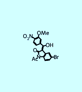 COc1cc(C(O)=C2C(=O)N(C(C)=O)c3ccc(Br)cc32)ccc1[N+](=O)[O-]